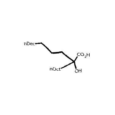 CCCCCCCCCCCCCC(O)(CCCCCCCC)C(=O)O